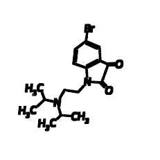 CC(C)N(CCN1C(=O)C(=O)c2cc(Br)ccc21)C(C)C